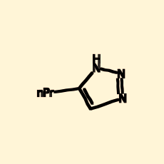 CCCc1cnn[nH]1